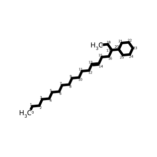 CCCCCCCCCCCCCC=CCCC(CC)C1CCCCC1